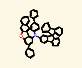 c1ccc(-c2ccc(N(c3ccc4c(c3)C3(c5ccccc5-c5ccccc53)c3ccccc3-4)c3cc(-c4ccccc4)cc4oc5cc6ccccc6cc5c34)cc2)cc1